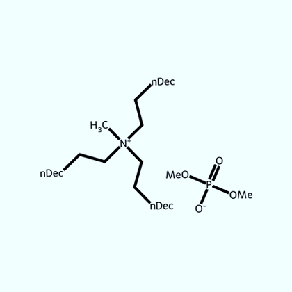 CCCCCCCCCCCC[N+](C)(CCCCCCCCCCCC)CCCCCCCCCCCC.COP(=O)([O-])OC